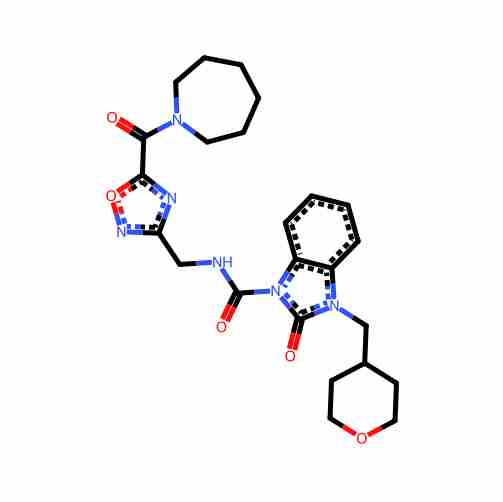 O=C(c1nc(CNC(=O)n2c(=O)n(CC3CCOCC3)c3ccccc32)no1)N1CCCCCC1